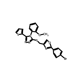 COc1ccccc1-n1c(SCc2coc(-c3ccc(Br)cc3)n2)nnc1-c1cccs1